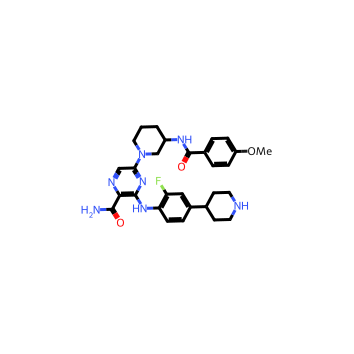 COc1ccc(C(=O)NC2CCCN(c3cnc(C(N)=O)c(Nc4ccc(C5CCNCC5)cc4F)n3)C2)cc1